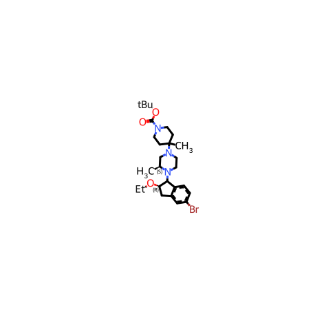 CCO[C@@H]1Cc2cc(Br)ccc2C1N1CCN(C2(C)CCN(C(=O)OC(C)(C)C)CC2)C[C@@H]1C